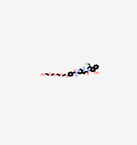 O=C(Nc1cc2cc(C(=O)N3C[C@@H](CCl)c4c3cc(O)c3ccccc43)[nH]c2cn1)c1ccc(OCCOCCOCCOCCO)cc1